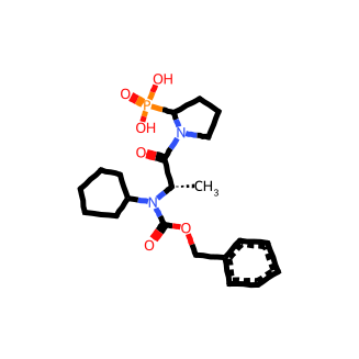 C[C@@H](C(=O)N1CCCC1P(=O)(O)O)N(C(=O)OCc1ccccc1)C1CCCCC1